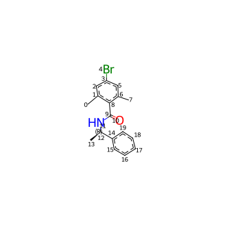 Cc1cc(Br)cc(C)c1C(=O)N[C@H](C)c1ccccc1